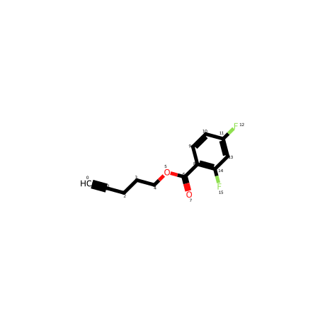 C#CCCCOC(=O)c1ccc(F)cc1F